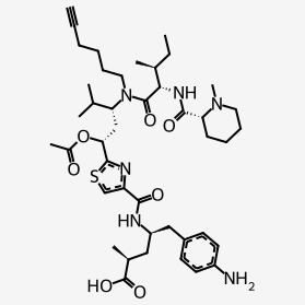 C#CCCCCN(C(=O)[C@@H](NC(=O)[C@H]1CCCCN1C)[C@@H](C)CC)[C@H](C[C@@H](OC(C)=O)c1nc(C(=O)N[C@@H](Cc2ccc(N)cc2)C[C@H](C)C(=O)O)cs1)C(C)C